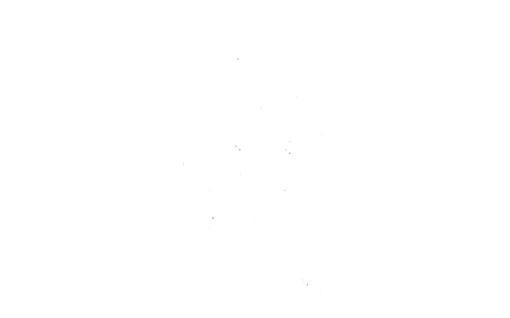 NCCCCC(NC(c1ccccc1)[N+](=O)[O-])C(=O)O